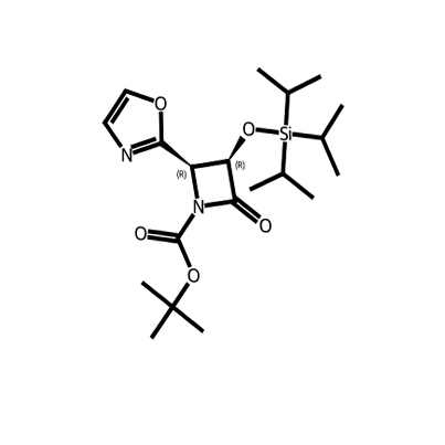 CC(C)[Si](O[C@H]1C(=O)N(C(=O)OC(C)(C)C)[C@H]1c1ncco1)(C(C)C)C(C)C